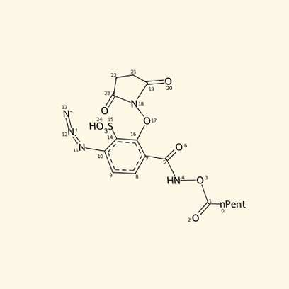 CCCCCC(=O)ONC(=O)c1ccc(N=[N+]=[N-])c(S(=O)(=O)O)c1ON1C(=O)CCC1=O